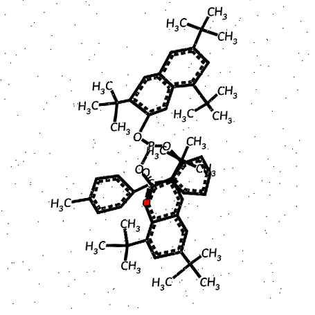 Cc1ccc(S(=O)(=O)c2ccccc2OP(Oc2cc3c(C(C)(C)C)cc(C(C)(C)C)cc3cc2C(C)(C)C)Oc2cc3c(C(C)(C)C)cc(C(C)(C)C)cc3cc2C(C)(C)C)cc1